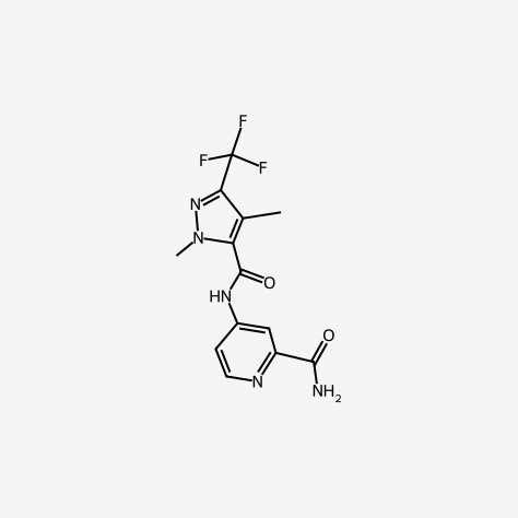 Cc1c(C(F)(F)F)nn(C)c1C(=O)Nc1ccnc(C(N)=O)c1